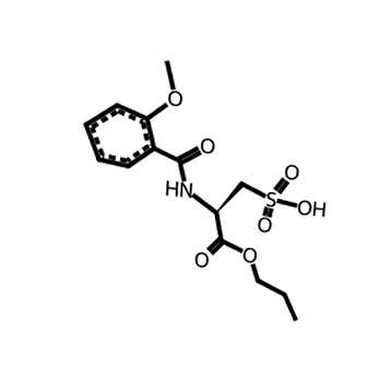 CCCOC(=O)[C@H](CS(=O)(=O)O)NC(=O)c1ccccc1OC